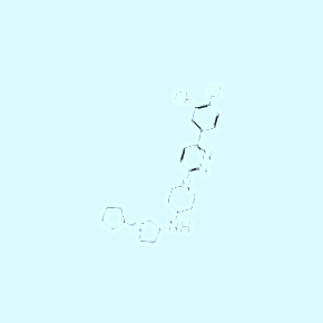 Clc1ccc(-c2ccc(N3CCC(N[C@@H]4CCN(C5CCCC5)C4)CC3)nn2)cc1Cl